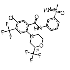 C[S@@](=N)(=O)c1cccc(NC(=O)c2cc(Cl)c(C(F)(F)F)cc2N2CCO[C@@H](C(F)(F)F)C2)c1